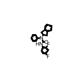 O=C(Nc1ccc(F)cc1F)N(c1ccccc1)C1Cc2ccccc2C1